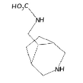 O=C(O)NCC1C2CCC1CNC2